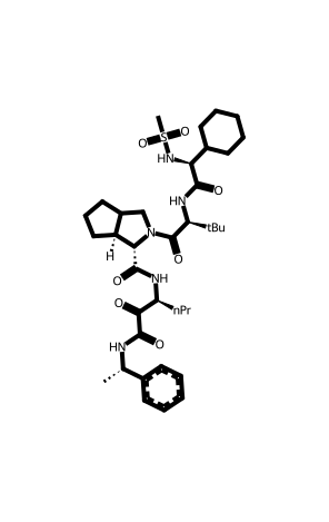 CCC[C@H](NC(=O)[C@@H]1[C@H]2CCCC2CN1C(=O)[C@@H](NC(=O)[C@@H](NS(C)(=O)=O)C1CCCCC1)C(C)(C)C)C(=O)C(=O)N[C@@H](C)c1ccccc1